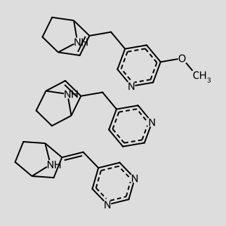 C(=C1CC2CCC1N2)c1cncnc1.C1=C(Cc2cccnc2)C2CCC1N2.COc1cncc(CC2=CC3CCC2N3)c1